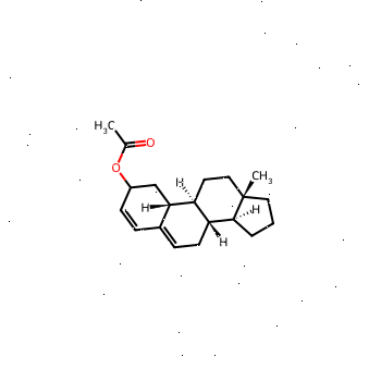 CC(=O)OC1C=CC2=CC[C@@H]3[C@H](CC[C@]4(C)CCC[C@@H]34)[C@H]2C1